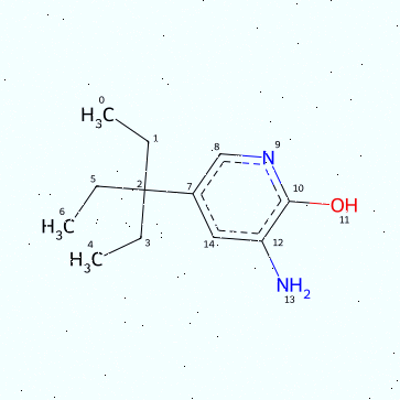 CCC(CC)(CC)c1cnc(O)c(N)c1